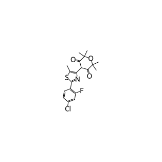 Cc1sc(-c2ccc(Cl)cc2F)nc1C1C(=O)C(C)(C)OC(C)(C)C1=O